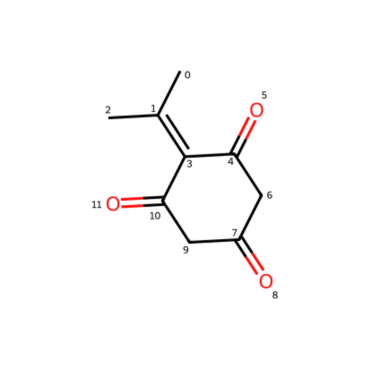 CC(C)=C1C(=O)CC(=O)CC1=O